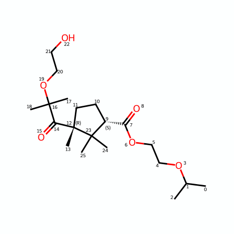 CC(C)OCCOC(=O)[C@H]1CC[C@@](C)(C(=O)C(C)(C)OCCO)C1(C)C